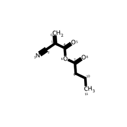 C=C(C#N)C(=O)OC(=O)CCC